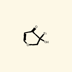 CCC1(O)COC=CC1=O